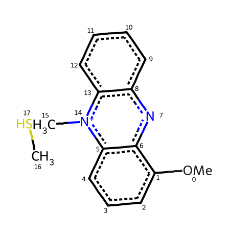 COc1cccc2c1nc1ccccc1[n+]2C.CS